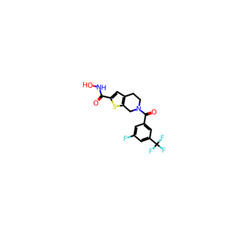 O=C(NO)c1cc2c(s1)CN(C(=O)c1cc(F)cc(C(F)(F)F)c1)CC2